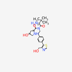 CC(C)(C)[C@H](N)C(=O)N(CCc1ccc(-c2scnc2CO)cc1)C(=O)[C@@H]1C[C@@H](O)CN1